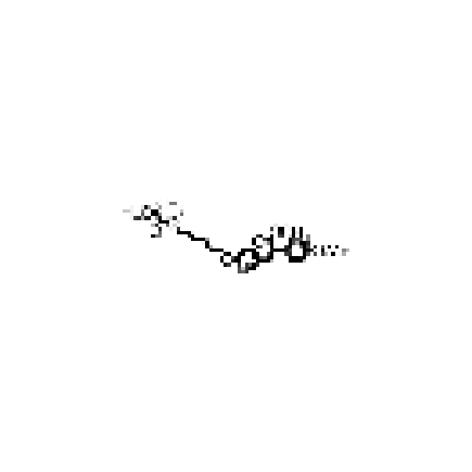 C=C(C)C(=O)OCCCCCCOc1cc2oc(=O)c(-c3ccc(OC)cc3C)cc2cn1